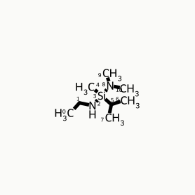 CCN[Si](C)(C(C)C)N(C)C